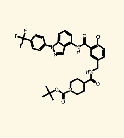 CC(C)(C)OC(=O)N1CCC(C(=O)NCc2ccc(Cl)c(C(=O)Nc3cccc4c3cnn4-c3ccc(C(F)(F)F)cc3)c2)CC1